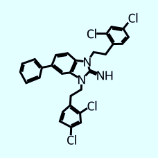 N=c1n(CCc2ccc(Cl)cc2Cl)c2ccc(-c3ccccc3)cc2n1CCc1ccc(Cl)cc1Cl